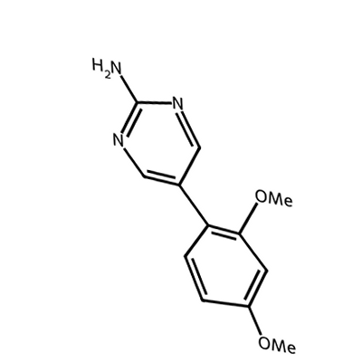 COc1ccc(-c2cnc(N)nc2)c(OC)c1